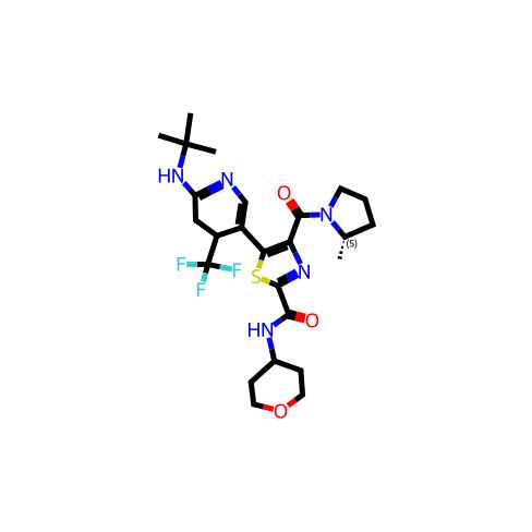 C[C@H]1CCCN1C(=O)c1nc(C(=O)NC2CCOCC2)sc1C1=CN=C(NC(C)(C)C)CC1C(F)(F)F